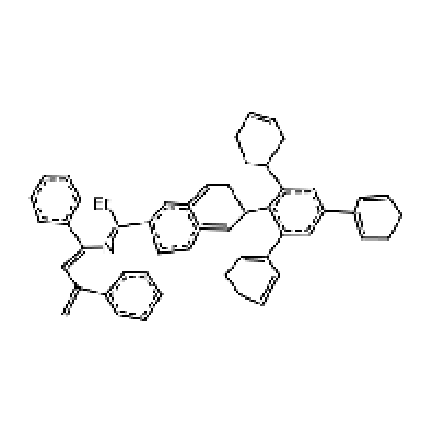 C=C(/C=C(\N=C(/CC)c1ccc2c(c1)=CCC(c1c(C3=CCCC=C3)cc(C3=CCCC=C3)cc1C1CC=CCC1)C=2)c1ccccc1)c1ccccc1